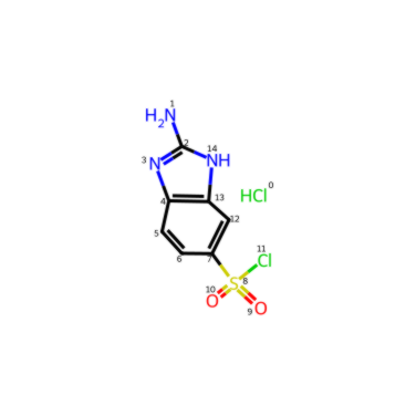 Cl.Nc1nc2ccc(S(=O)(=O)Cl)cc2[nH]1